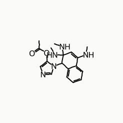 CNC1=CC(NC)(NC)C(n2cncc2OC(C)=O)c2ccccc21